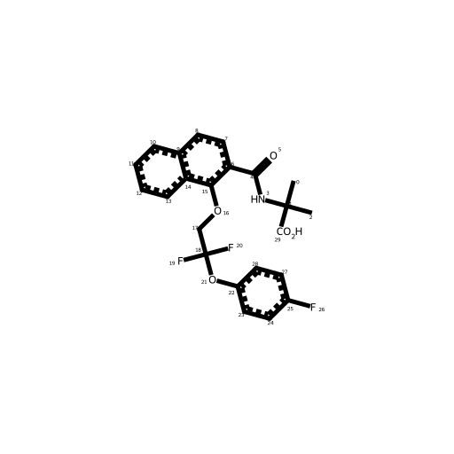 CC(C)(NC(=O)c1ccc2ccccc2c1OCC(F)(F)Oc1ccc(F)cc1)C(=O)O